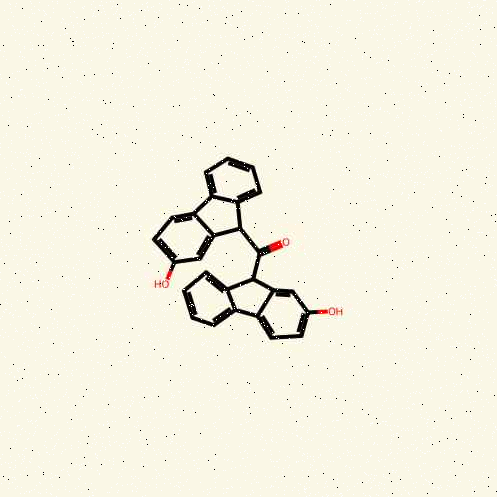 O=C(C1c2ccccc2-c2ccc(O)cc21)C1c2ccccc2-c2ccc(O)cc21